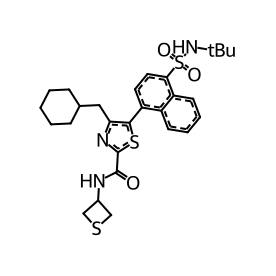 CC(C)(C)NS(=O)(=O)c1ccc(-c2sc(C(=O)NC3CSC3)nc2CC2CCCCC2)c2ccccc12